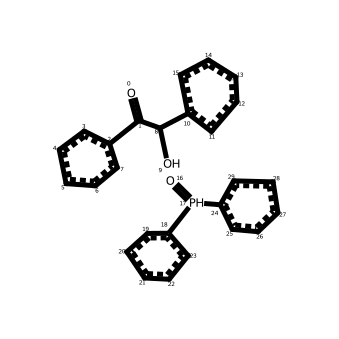 O=C(c1ccccc1)C(O)c1ccccc1.O=[PH](c1ccccc1)c1ccccc1